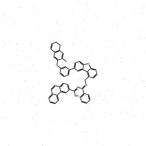 Cc1cc2c(cc1Oc1cccc(-c3ccc4oc5cccc(C/N=C(\N=C(/N)c6ccc7ccc8ccccc8c7c6)c6ccccc6)c5c4c3)c1)C=CCC2